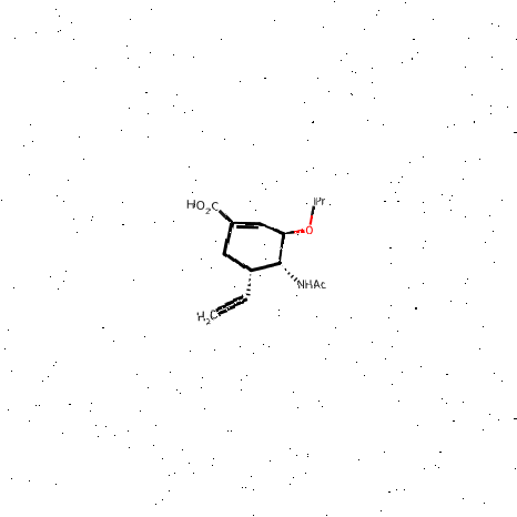 C=C[C@@H]1CC(C(=O)O)=C[C@@H](OC(C)C)[C@@H]1NC(C)=O